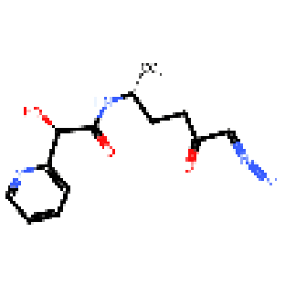 [N-]=[N+]=CC(=O)CC[C@H](NC(=O)[C@H](O)c1ccccn1)C(=O)O